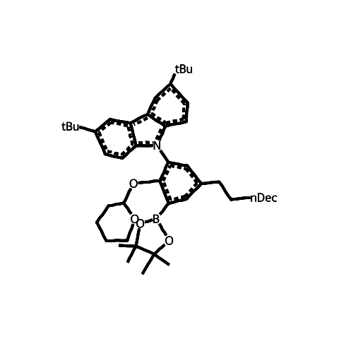 CCCCCCCCCCCCc1cc(B2OC(C)(C)C(C)(C)O2)c(OC2CCCCO2)c(-n2c3ccc(C(C)(C)C)cc3c3cc(C(C)(C)C)ccc32)c1